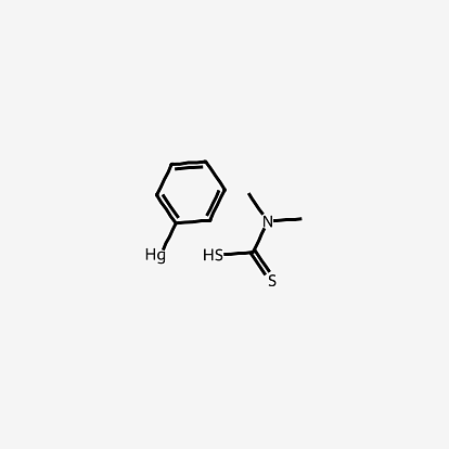 CN(C)C(=S)S.[Hg][c]1ccccc1